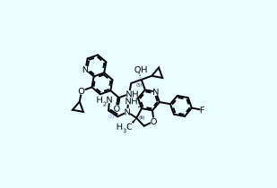 C[C@]1(N(N)/C=C\N)COc2c1cc([C@@](O)(CNC(=O)c1cc(OC3CC3)c3ncccc3c1)C1CC1)nc2-c1ccc(F)cc1